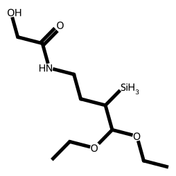 CCOC(OCC)C([SiH3])CCNC(=O)CO